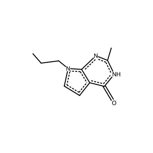 CCCn1ccc2c(=O)[nH]c(C)nc21